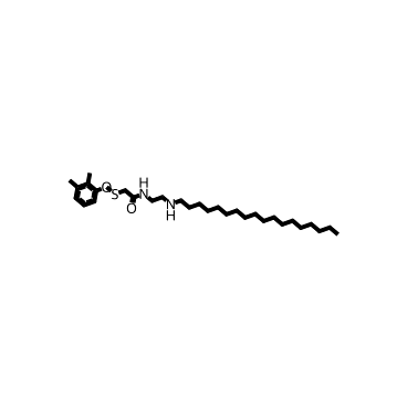 CCCCCCCCCCCCCCCCCCNCCNC(=O)CSOc1cccc(C)c1C